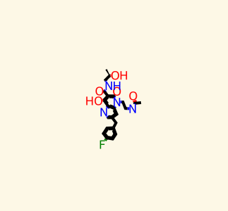 CC(=O)N(C)CCn1c(=O)c(C(=O)NC[C@@H](C)O)c(O)c2ncc(Cc3ccc(F)cc3)cc21